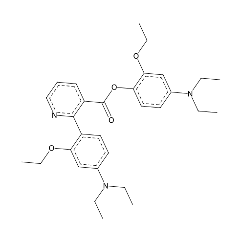 CCOc1cc(N(CC)CC)ccc1OC(=O)c1cccnc1-c1ccc(N(CC)CC)cc1OCC